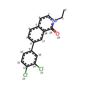 CCn1ccc2ccc(-c3ccc(Cl)c(Cl)c3)cc2c1=O